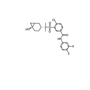 CC(C)([C@@H]1CC[C@]2(O)CC2C1)S(=O)(=O)c1cc(C(=O)Nc2ccc(F)c(F)c2)ccc1Cl